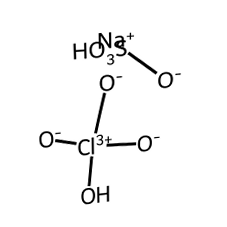 O=S(=O)([O-])O.[Na+].[O-][Cl+3]([O-])([O-])O